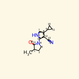 CC1CCN(c2[nH]cc(C3CC3)c2C#N)C1=O